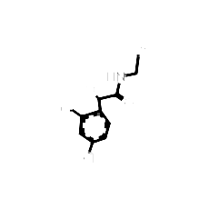 O=C(NCBr)C(O)c1ccc(Cl)cc1Cl